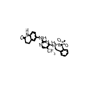 CS(=O)(=O)Nc1ccccc1CNc1nc(Nc2ccc3c(c2)CCC(=O)N3)ncc1C(F)(F)F